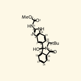 COC(=O)Nc1nc2cc(C3(O)c4ccccc4C(=O)N3CC(C)(C)C)ccc2[nH]1